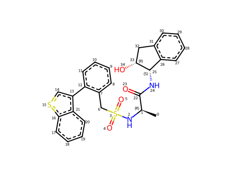 C[C@@H](NS(=O)(=O)Cc1ccccc1-c1csc2ccccc12)C(=O)N[C@H]1c2ccccc2C[C@H]1O